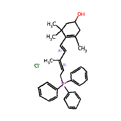 CC1=C(/C=C/C(C)=C/C[P+](c2ccccc2)(c2ccccc2)c2ccccc2)C(C)(C)CC(O)C1.[Cl-]